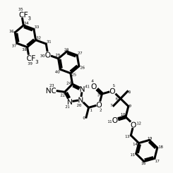 CC(OC(=O)OC(C)(C)CC(=O)OCc1ccccc1)n1nc(C#N)c(-c2cccc(OCc3cc(C(F)(F)F)ccc3C(F)(F)F)c2)n1